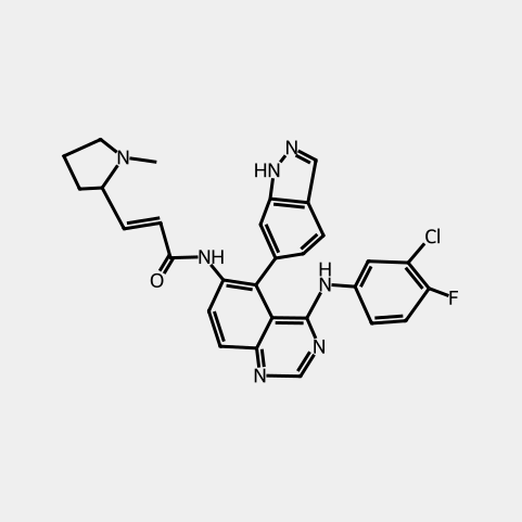 CN1CCCC1C=CC(=O)Nc1ccc2ncnc(Nc3ccc(F)c(Cl)c3)c2c1-c1ccc2cn[nH]c2c1